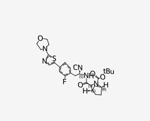 CC(C)(C)OC(=O)N1[C@@H]2CC[C@@H](C2)[C@H]1C(=O)N[C@H](C#N)Cc1ccc(-c2cnc(N3CCOCC3)s2)cc1F